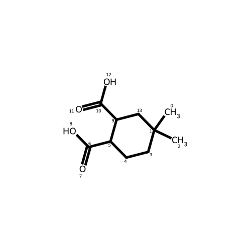 CC1(C)CCC(C(=O)O)C(C(=O)O)C1